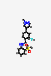 Cn1cc(-c2ccc(CNc3ccccc3S(C)(=O)=O)c(F)c2)cn1